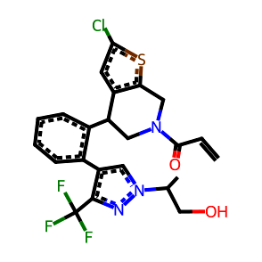 C=CC(=O)N1Cc2sc(Cl)cc2C(c2ccccc2-c2cn(C(C)CO)nc2C(F)(F)F)C1